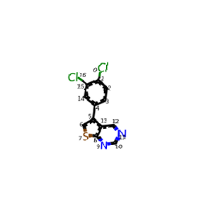 Clc1ccc(-c2csc3ncncc23)cc1Cl